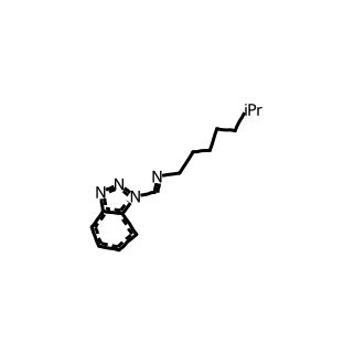 CC(C)CCCCCN=Cn1nnc2ccccc21